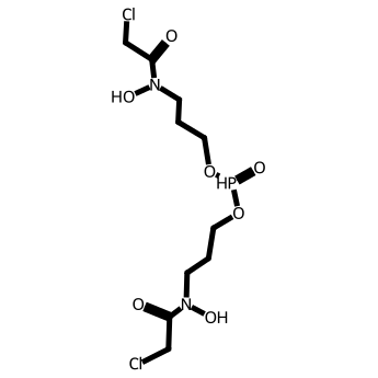 O=C(CCl)N(O)CCCO[PH](=O)OCCCN(O)C(=O)CCl